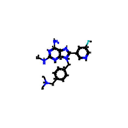 CCNc1nc(N)c2nc(-c3cncc(F)c3)n(Cc3ccc(CN(C)C)cc3)c2n1